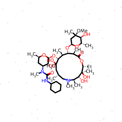 CC[C@H]1OC(=O)[C@H](C)[C@@H](O[C@H]2C[C@@](C)(OC)[C@@H](O)[C@H](C)O2)[C@H](C)[C@@H](O[C@@H]2O[C@H](C)C[C@H](N(C)C(=O)NC3CCCCC3)[C@H]2O)[C@](C)(O)C[C@@H](C)CN(C)[C@H](C)[C@@H](O)[C@]1(C)O